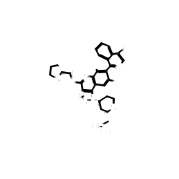 CNC[C@@H]1C[C@@H](n2nnc3c(O[C@@H](C)[C@@H]4CCCN4C)nc4c(F)c(-c5ncc(F)c6ccccc56)c(C)cc4c32)CCN1